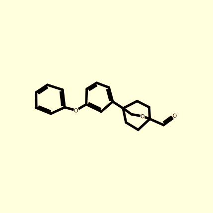 O=CC12CCC(c3cccc(Oc4ccccc4)c3)(CC1)CO2